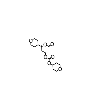 O=CO[C](CCOC(=O)OC1CCOCC1)C1CCOCC1